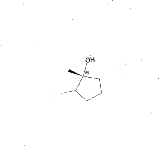 CC1CCC[C@@]1(C)O